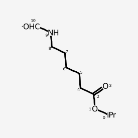 CC(C)OC(=O)CCCCCN[C]=O